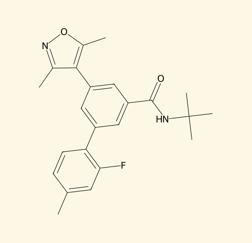 Cc1ccc(-c2cc(C(=O)NC(C)(C)C)cc(-c3c(C)noc3C)c2)c(F)c1